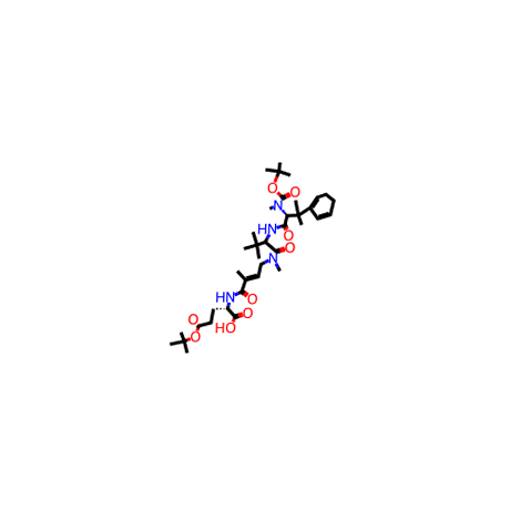 C/C(=C\CN(C)C(=O)C(NC(=O)[C@@H](N(C)C(=O)OC(C)(C)C)C(C)(C)C1=CCCC=C1)C(C)(C)C)C(=O)N[C@@H](CCC(=O)OC(C)(C)C)C(=O)O